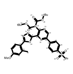 COc1ccc(-c2nnc(-c3nc(-c4ccc(S(=O)(=O)C(C)C)cc4)cnc3N(C(=O)OC(C)(C)C)C(=O)OC(C)(C)C)o2)c(C)c1